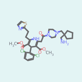 COC(=O)C1=C(CCc2nccs2)NC(CC(=O)N2CCN(CC3(CN)CCCC3)CC2)=C(C(=O)OC)C1c1c(Cl)cccc1Cl